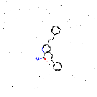 NC(=O)c1ncc(CCc2ccccc2)cc1CCc1ccccc1